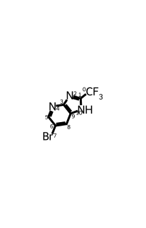 FC(F)(F)c1nc2ncc(Br)cc2[nH]1